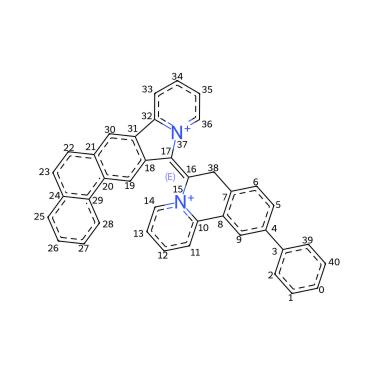 c1ccc(-c2ccc3c(c2)-c2cccc[n+]2/C(=C2\c4cc5c(ccc6ccccc65)cc4-c4cccc[n+]42)C3)cc1